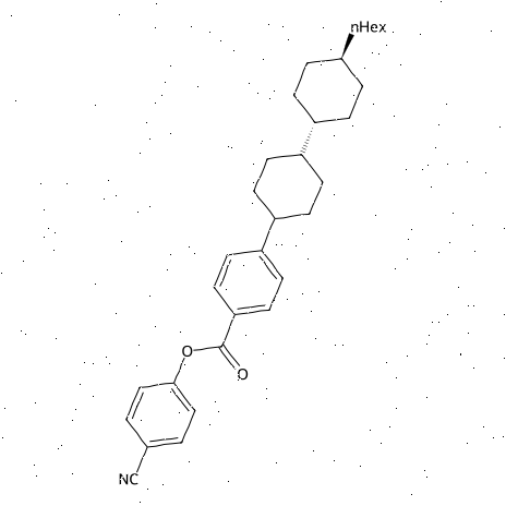 CCCCCC[C@H]1CC[C@H](C2CCC(c3ccc(C(=O)Oc4ccc(C#N)cc4)cc3)CC2)CC1